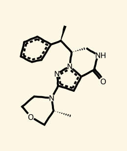 C[C@H](c1ccccc1)[C@@H]1CNC(=O)c2cc(N3CCOC[C@H]3C)nn21